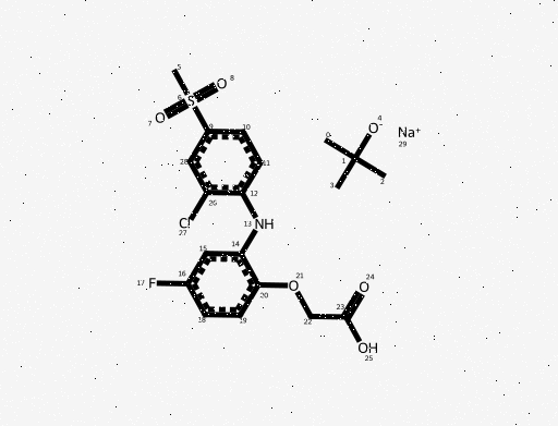 CC(C)(C)[O-].CS(=O)(=O)c1ccc(Nc2cc(F)ccc2OCC(=O)O)c(Cl)c1.[Na+]